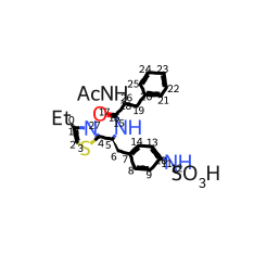 CCc1csc([C@H](Cc2ccc(NS(=O)(=O)O)cc2)NC(=O)C(Cc2ccccc2)NC(C)=O)n1